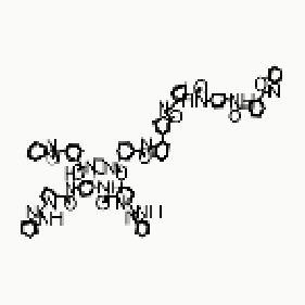 O=C(Nc1ccc(NC(=O)c2cccc(-c3nc4ccc(-c5cccc6oc(-c7cccc(C(=O)N8CCN(C(=O)c9cccc(-c%10nc%11ccccc%11o%10)c9)C(c9cc(NC(=O)c%10cccc(-c%11nc%12ccccc%12[nH]%11)n%10)ccc9NC(=O)c9cccc(-c%10nc%11ccccc%11[nH]%10)n9)C8)c7)nc56)cc4o3)c2)cc1)c1cccc(-c2nc3ccccc3o2)c1